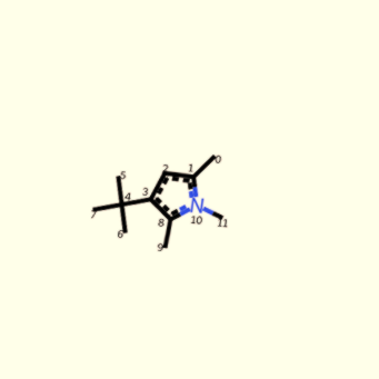 Cc1cc(C(C)(C)C)c(C)n1C